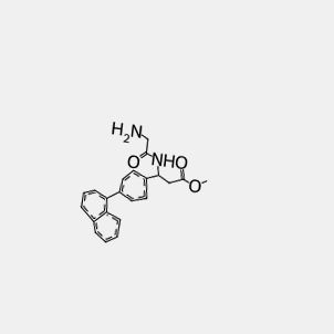 COC(=O)CC(NC(=O)CN)c1ccc(-c2cccc3ccccc23)cc1